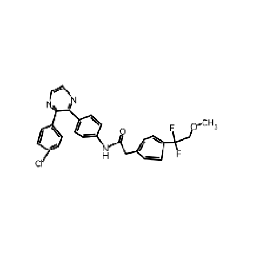 COCC(F)(F)c1ccc(CC(=O)Nc2ccc(-c3nccnc3-c3ccc(Cl)cc3)cc2)cc1